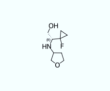 OC[C@@H](NC1CCOC1)C1(F)CC1